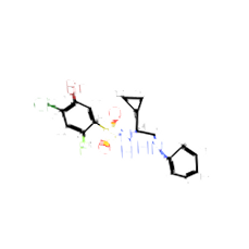 O=S(=O)(NC(CNc1ccccc1)C1CC1)c1cc(Br)c(Cl)cc1F